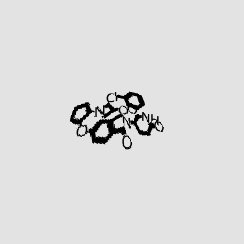 O=C1CCC(N2Cc3cc(O[C@H]4CCC[C@@H]4N4CC(Oc5ccccc5Cl)C4)ccc3C2=O)C(=O)N1